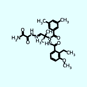 CCc1c(OC)cccc1C(=O)NN(C(=O)c1cc(C)cc(C)c1)C(C)(C)/C=N/NC(=O)C(N)=O